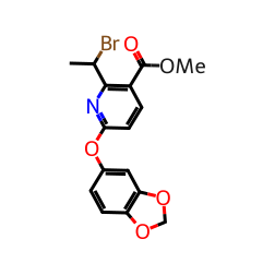 COC(=O)c1ccc(Oc2ccc3c(c2)OCO3)nc1C(C)Br